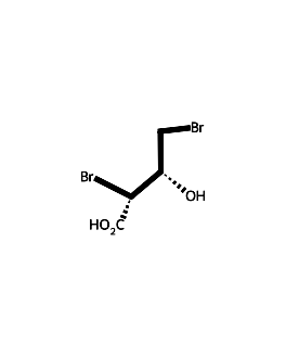 O=C(O)[C@H](Br)[C@@H](O)CBr